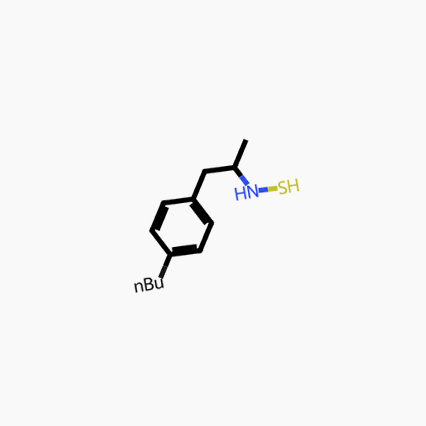 CCCCc1ccc(CC(C)NS)cc1